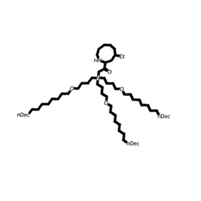 CCCCCCCCCCCCCCCCCCOCCCC[N+](CCCCOCCCCCCCCCCCCCCCCCC)(CCCCOCCCCCCCCCCCCCCCCCC)CC(=O)C1CC(CC)CCCCCN1